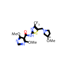 COc1ncnc(OC)c1C(=O)Nc1nc(C(F)(F)F)c(CN2CC[C@@H](OC)C2)s1